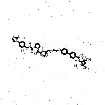 Cc1nccn1-c1ccc([C@H](C)NC(=O)[C@@H]2CCCN2C(=O)C(NC(=O)COCCOc2ccc(-c3ccc(C(=O)NC4C(C)(C)CC4(C)C)cc3)cc2)C(C)(C)C)cc1